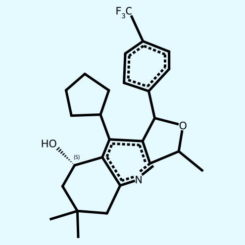 CC1OC(c2ccc(C(F)(F)F)cc2)c2c1nc1c(c2C2CCCC2)[C@@H](O)CC(C)(C)C1